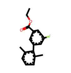 CCOC(=O)c1cc(F)cc(-c2c(C)cccc2C)c1